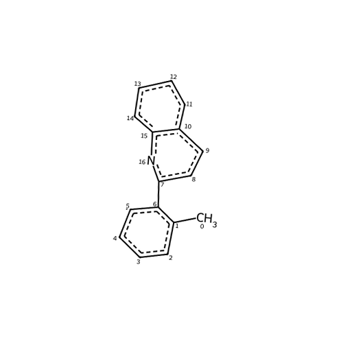 Cc1ccc[c]c1-c1ccc2ccccc2n1